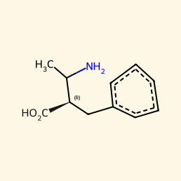 CC(N)[C@@H](Cc1ccccc1)C(=O)O